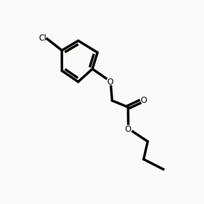 CCCOC(=O)COc1ccc(Cl)cc1